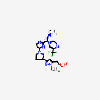 C=N/C=C(/c1nccc(N2CCCC(c3cc(CCO)n(C)n3)C2)n1)N1C=C(C(F)(F)F)N=CC1